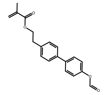 C=C(C)C(=O)OCCc1ccc(-c2ccc(OC=O)cc2)cc1